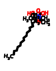 CCCCCCCCCCCCCC=C[C@H]1OC(C)(C)N(C(=O)O)[C@]1(CO)C(C)(C)C